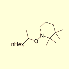 CCCCCCC(C)ON1CCCC(C)(C)C1(C)C